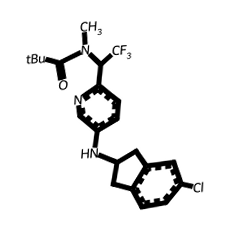 CN(C(=O)C(C)(C)C)C(c1ccc(NC2Cc3ccc(Cl)cc3C2)cn1)C(F)(F)F